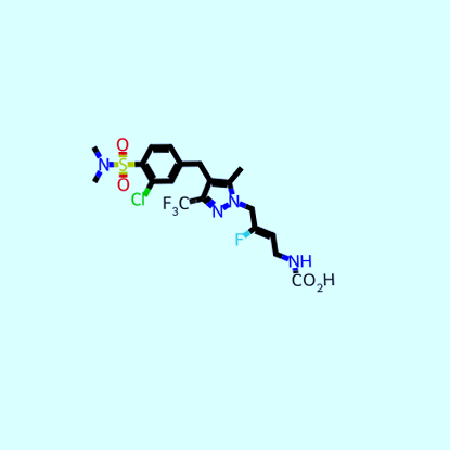 Cc1c(Cc2ccc(S(=O)(=O)N(C)C)c(Cl)c2)c(C(F)(F)F)nn1CC(F)=CCNC(=O)O